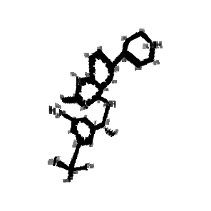 Cc1nc(N[C@H](C)c2cc(N)cc(C(F)(F)F)c2)c2cc(C3=CCNCC3)ccc2n1